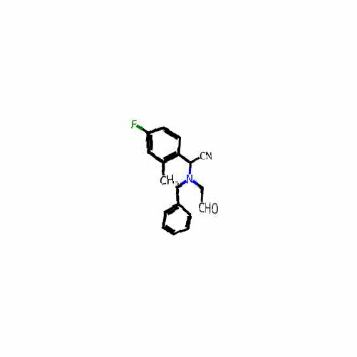 Cc1cc(F)ccc1C(C#N)N(CC=O)Cc1ccccc1